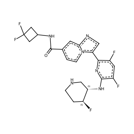 O=C(NC1CC(F)(F)C1)c1ccn2c(-c3nc(N[C@H]4CNCC[C@@H]4F)c(F)cc3F)cnc2c1